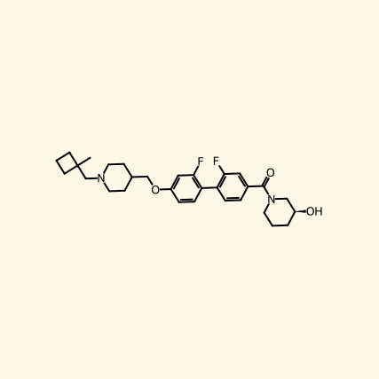 CC1(CN2CCC(COc3ccc(-c4ccc(C(=O)N5CCC[C@H](O)C5)cc4F)c(F)c3)CC2)CCC1